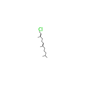 C/C(=C\CCl)CC/C=C(\C)CCCC(C)C